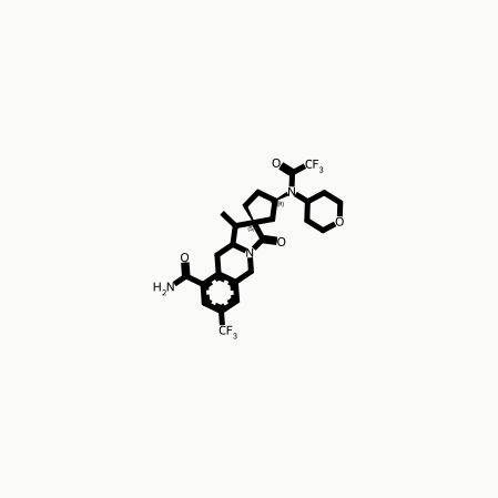 CC1C2Cc3c(cc(C(F)(F)F)cc3C(N)=O)CN2C(=O)[C@]12CC[C@@H](N(C(=O)C(F)(F)F)C1CCOCC1)C2